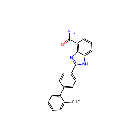 NC(=O)c1cccc2[nH]c(-c3ccc(-c4ccccc4C=O)cc3)nc12